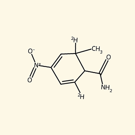 [2H]C1=CC([N+](=O)[O-])=CC([2H])(C)C1C(N)=O